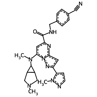 CN1CC2C(C1)C2N(C)c1cc(C(=O)NCc2ccc(C#N)cc2)nc2cc(-c3ccnn3C)nn12